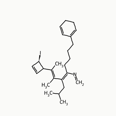 C=N/C(CCCCC1=CCCC=C1)=C(CC(C)C)/C(C)=C(\C)C1C=C[C@H]1I